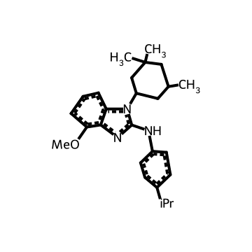 COc1cccc2c1nc(Nc1ccc(C(C)C)cc1)n2C1CC(C)CC(C)(C)C1